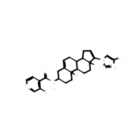 Cc1cn(C2=CCC3C4CC=C5CC(NC(=O)c6ccncc6F)CCC5(C)C4CCC23C)cn1